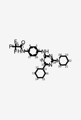 O=C(Nc1ccc(Nc2nc(C3CCCCC3)nc(N3CCCCC3)n2)cc1)C(F)(F)F